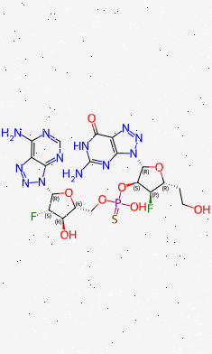 Nc1nc2c(nnn2[C@@H]2O[C@H](CCO)[C@@H](F)[C@H]2OP(O)(=S)OC[C@H]2O[C@@H](n3nnc4c(N)ncnc43)[C@@H](F)[C@@H]2O)c(=O)[nH]1